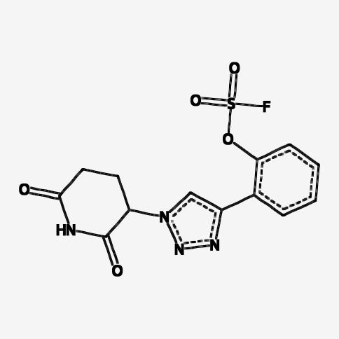 O=C1CCC(n2cc(-c3ccccc3OS(=O)(=O)F)nn2)C(=O)N1